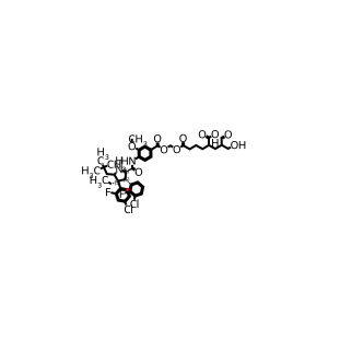 CC[C@]1(c2ccc(Cl)cc2F)C(CC(C)(C)C)N[C@@H](C(=O)Nc2ccc(C(=O)OCOC(=O)CCCC(CC(C=O)CO)C(=O)O)cc2OC)[C@@H]1c1cccc(Cl)c1F